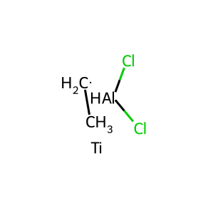 [CH2]C.[Cl][AlH][Cl].[Ti]